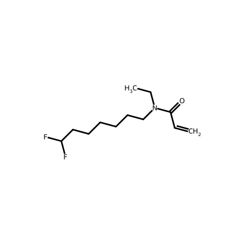 C=CC(=O)N(CC)CCCCCCC(F)F